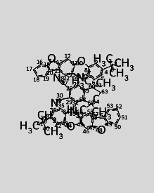 CC(C)(C)c1ccc2c(c1)Oc1cc3oc4ccccc4c3cc1N2c1c(C#N)c(C#N)c(N2c3ccc(C(C)(C)C)cc3Oc3cc4oc5ccccc5c4cc32)c2c1C(C)(C)CCC2(C)C